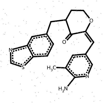 Cc1cc(C=C2OCCC(Cc3ccc4scnc4c3)C2=O)cnc1N